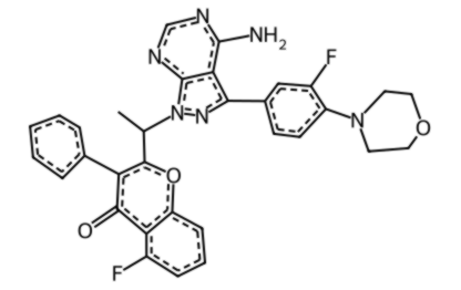 CC(c1oc2cccc(F)c2c(=O)c1-c1ccccc1)n1nc(-c2ccc(N3CCOCC3)c(F)c2)c2c(N)ncnc21